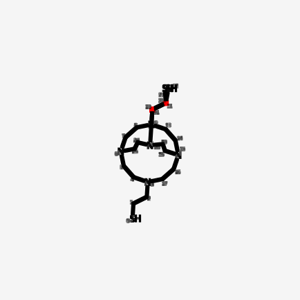 SCCN1CCN2CCN(CCS)CCN(CC1)CCN(CCS)CC2